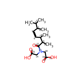 CC(C)C(C)/C=C\C(C)C(C)C(=O)N(CC(=O)O)CC(=O)O